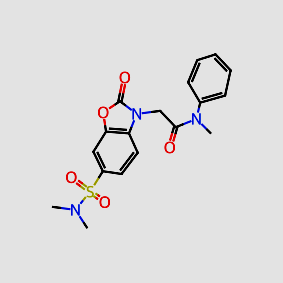 CN(C(=O)Cn1c(=O)oc2cc(S(=O)(=O)N(C)C)ccc21)c1ccccc1